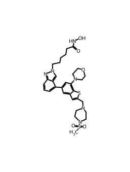 CS(=O)(=O)N1CCN(Cc2cc3cc(-c4cccc5nn(CCCCCC(=O)NO)cc45)cc(N4CCOCC4)c3s2)CC1